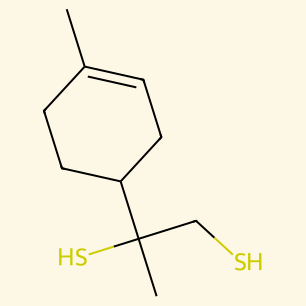 CC1=CCC(C(C)(S)CS)CC1